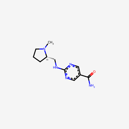 CN1CCC[C@H]1CNc1ncc(C(N)=O)cn1